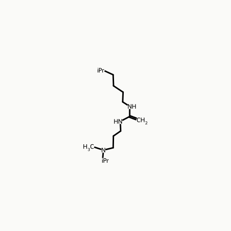 C=C(NCCCCC(C)C)NCCCN(C)C(C)C